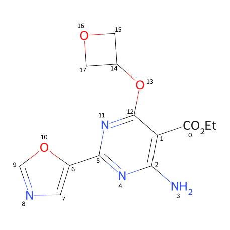 CCOC(=O)c1c(N)nc(-c2cnco2)nc1OC1COC1